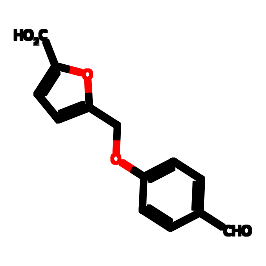 O=Cc1ccc(OCc2ccc(C(=O)O)o2)cc1